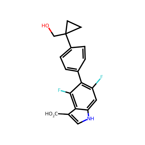 O=C(O)c1c[nH]c2cc(F)c(-c3ccc(C4(CO)CC4)cc3)c(F)c12